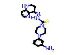 Nc1cccc(N2CCN(C(=S)N/N=C3/CCNc4cccnc43)CC2)c1